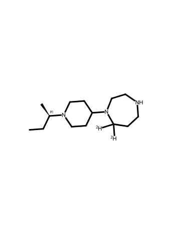 [2H]C1([2H])CCNCCN1C1CCN([C@H](C)CC)CC1